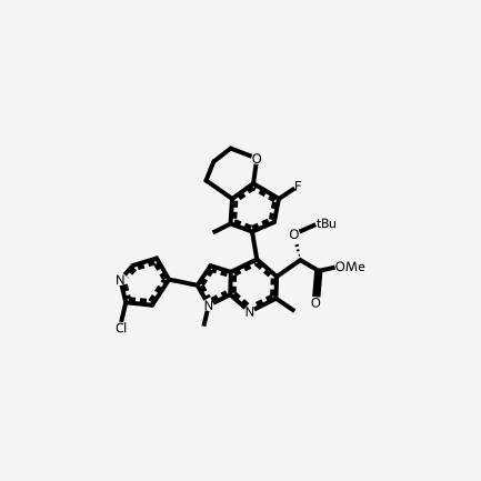 COC(=O)[C@@H](OC(C)(C)C)c1c(C)nc2c(cc(-c3ccnc(Cl)c3)n2C)c1-c1cc(F)c2c(c1C)CCCO2